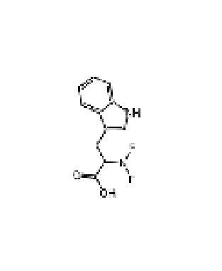 O=C(O)C(Cc1c[nH]c2ccccc12)N(F)F